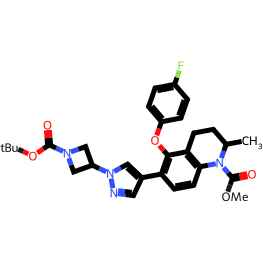 COC(=O)N1c2ccc(-c3cnn(C4CN(C(=O)OC(C)(C)C)C4)c3)c(Oc3ccc(F)cc3)c2CCC1C